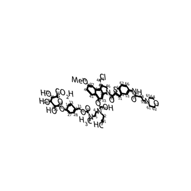 C#CCN(CCN(C)C(=O)OCc1ccc(OC2OC(C(=O)O)C(O)C(O)C2O)cc1)C(O)Oc1cc2c(c3cc(OC)ccc13)[C@H](CCl)CN2C(=O)c1cc2cc(NC(=O)CCN3CCOCC3)ccc2s1